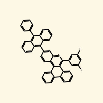 Fc1cc(F)cc(-c2nc3cc(-c4c5ccccc5c(-c5ccccc5)c5ccccc45)ccc3c3c4ccccc4c4ccccc4c23)c1